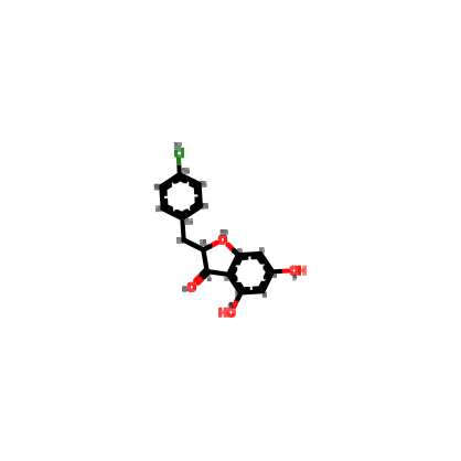 O=C1c2c(O)cc(O)cc2OC1Cc1ccc(Cl)cc1